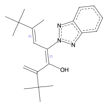 C=C(/C(O)=C(\C=C(/C)C(C)(C)C)n1nc2ccccc2n1)C(C)(C)C